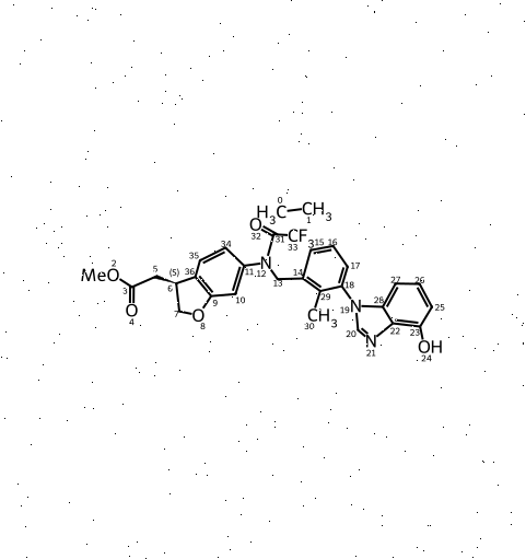 CC.COC(=O)C[C@@H]1COc2cc(N(Cc3cccc(-n4cnc5c(O)cccc54)c3C)C(=O)C(F)(F)F)ccc21